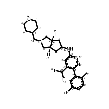 Cc1ccc(F)cc1-c1nnc(NC2C[C@@H]3CN(CC4CCOCC4)C[C@@H]3C2)cc1C(F)F